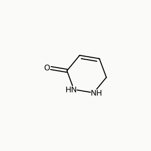 O=C1C=CCNN1